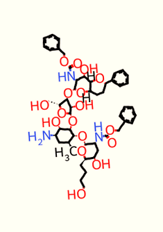 C[C@H]1C[C@@H](N)[C@H](O)[C@@H](O[C@@H]2O[C@H](CO)[C@@H](O[C@H]3O[C@H]4CCC(c5ccccc5)O[C@H]4[C@H](O)[C@H]3NC(=O)OCc3ccccc3)[C@H]2O)[C@@H]1O[C@H]1O[C@H](CCCCO)[C@@H](O)C[C@H]1NC(=O)OCc1ccccc1